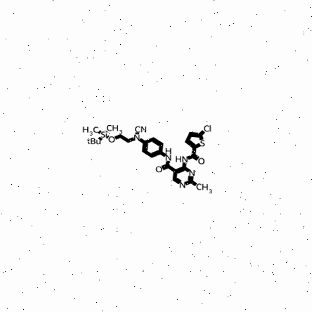 Cc1ncc(C(=O)Nc2ccc(N(C#N)CCO[Si](C)(C)C(C)(C)C)cc2)c(NC(=O)c2ccc(Cl)s2)n1